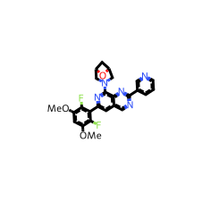 COc1cc(OC)c(F)c(-c2cc3cnc(-c4cccnc4)nc3c(N3CC4CC(C3)O4)n2)c1F